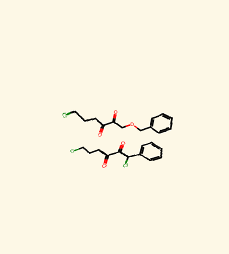 O=C(CCCCl)C(=O)C(Cl)c1ccccc1.O=C(CCCCl)C(=O)COCc1ccccc1